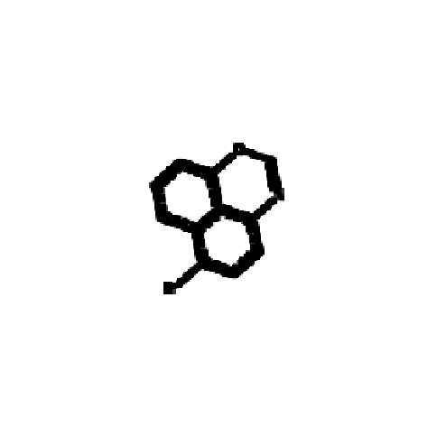 Brc1ccc2c3c(cccc13)OC=N2